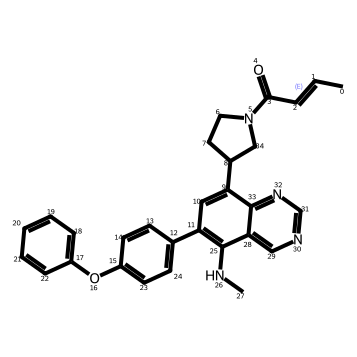 C/C=C/C(=O)N1CCC(c2cc(-c3ccc(Oc4ccccc4)cc3)c(NC)c3cncnc23)C1